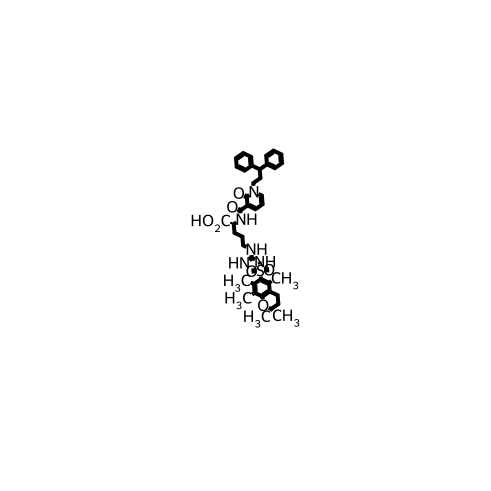 Cc1c(C)c(S(=O)(=O)NC(=N)NCCC[C@H](NC(=O)c2cccn(CCC(c3ccccc3)c3ccccc3)c2=O)C(=O)O)c(C)c2c1OC(C)(C)CC2